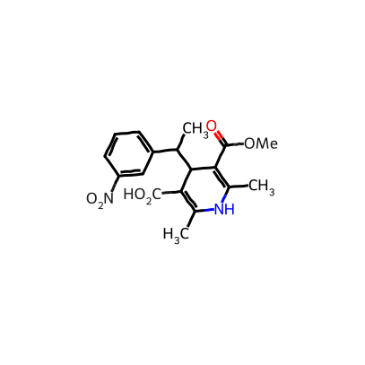 COC(=O)C1=C(C)NC(C)=C(C(=O)O)C1C(C)c1cccc([N+](=O)[O-])c1